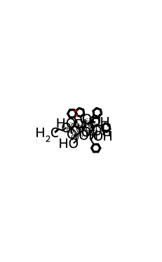 C=CCO[C@H]1O[C@H](CO)[C@@H](O)[C@@](O)([C@@H]2O[C@H](C(O)Cc3ccccc3)[C@](O)(Cc3ccccc3)[C@@](O)(Cc3ccccc3)[C@]2(O)Cc2ccccc2)[C@]1(O)Cc1ccccc1